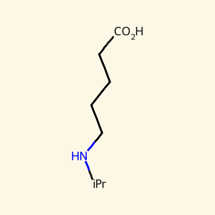 CC(C)NCCCCC(=O)O